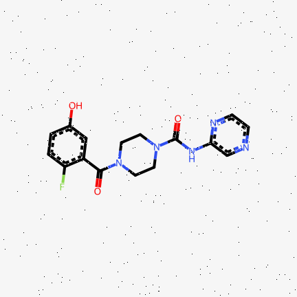 O=C(Nc1cnccn1)N1CCN(C(=O)c2cc(O)ccc2F)CC1